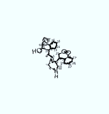 CC(O)C(CCN1CCNCC1C1=C2CC=CC=C2OOC1)c1ccccc1OC(F)(F)F